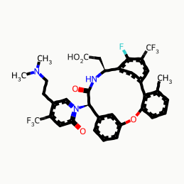 Cc1cccc2c1-c1cc(c(F)c(C(F)(F)F)c1)[C@H](CC(=O)O)NC(=O)[C@H](n1cc(CCN(C)C)c(C(F)(F)F)cc1=O)c1cccc(c1)O2